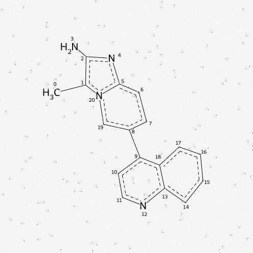 Cc1c(N)nc2ccc(-c3ccnc4ccccc34)cn12